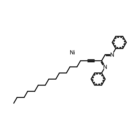 CCCCCCCCCCCCCCC#CC(C=Nc1ccccc1)=Nc1ccccc1.[Ni]